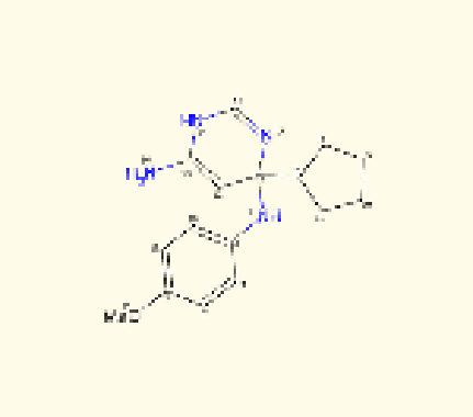 COc1ccc(NC2(C3CCCC3)C=C(N)NC=N2)cc1